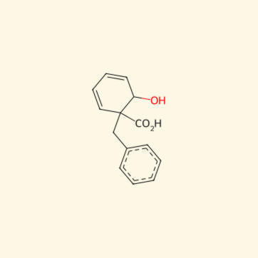 O=C(O)C1(Cc2ccccc2)C=CC=CC1O